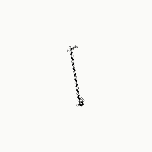 CC(C)(C)OC(=O)NCCOCCOCCOCCOCCOCCOCCOCCOCCC(=O)ON1C(=O)CCC1=O